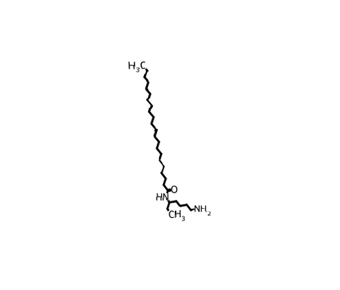 CCCCCCCCCCCCCCCCCCCCCC(=O)NC(CC)CCCCN